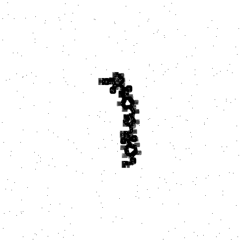 CC(C)CC(C(=O)NO)C(=O)Nc1ccc(Cn2cc(CNS(=O)(=O)c3ccc(OC(C)C)cc3)nn2)cc1